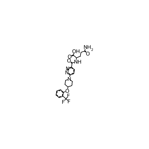 NC(=O)CCC(NC(=O)c1ccc(N2CCC(Oc3ccccc3C(F)(F)F)CC2)nn1)C(=O)O